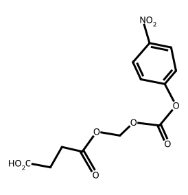 O=C(O)CCC(=O)OCOC(=O)Oc1ccc([N+](=O)[O-])cc1